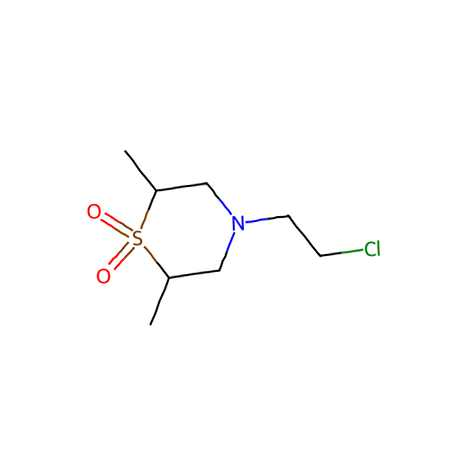 CC1CN(CCCl)CC(C)S1(=O)=O